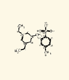 CCN1C=[N+](CC)CN(C)C1.Cc1ccc(S(=O)(=O)[O-])cc1